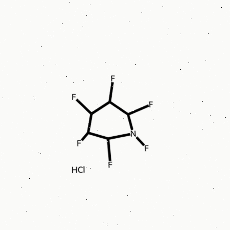 Cl.FC1C(F)C(F)N(F)C(F)C1F